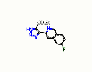 CCOC(=O)c1[nH]nnc1-c1cc2cc(F)ccc2cn1